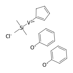 C[Si](C)(C)[V+3][C]1=CC=CC1.[Cl-].[O-]c1ccccc1.[O-]c1ccccc1